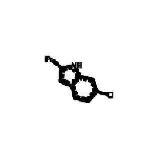 CC(C)c1cc2ccc(Cl)cc2[nH]1